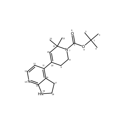 CC(C)(C)OC(=O)N1CCC(c2ccnc3c2CCN3)=CC1(C)C